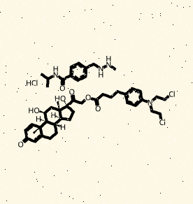 CNNCc1ccc(C(=O)NC(C)C)cc1.C[C@]12C=CC(=O)C=C1CC[C@@H]1[C@@H]2[C@@H](O)C[C@@]2(C)[C@H]1CC[C@]2(O)C(=O)COC(=O)CCCc1ccc(N(CCCl)CCCl)cc1.Cl